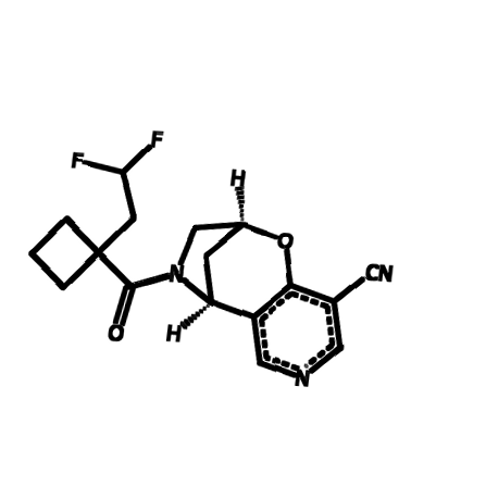 N#Cc1cncc2c1O[C@H]1C[C@@H]2N(C(=O)C2(CC(F)F)CCC2)C1